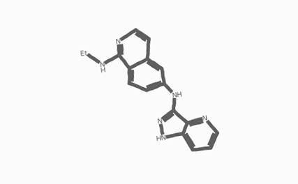 CCNc1nccc2cc(Nc3n[nH]c4cccnc34)ccc12